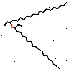 C=CC(CCCCCCCCCCCCCCCCC)OC(C=C)CCCCCCCCCCCCCCCCC